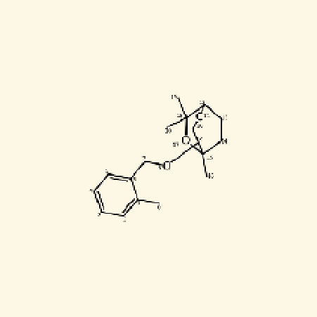 Cc1ccccc1COC1CCC2CCC1(C)OC2(C)C